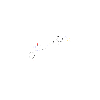 Cc1cc(NS(C)(=O)=O)cc(C)c1/C=C/S(=O)(=O)N1CCC2(CC1)N=C(c1cccc(OC(F)(F)F)c1)NC2=O